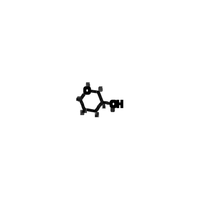 OC1C[C]COC1